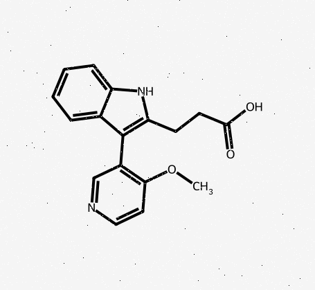 COc1ccncc1-c1c(CCC(=O)O)[nH]c2ccccc12